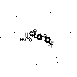 O=C(NO)[C@H]1CCS(=O)(=O)N1Cc1ccc(Oc2ccc(C(F)(F)F)cc2)cc1